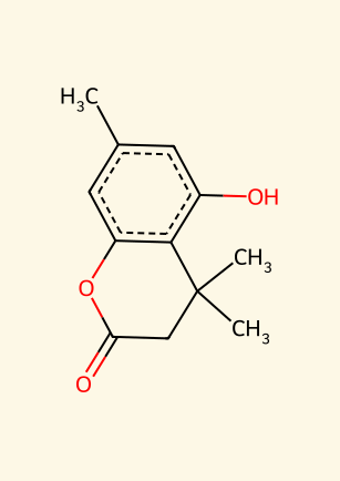 Cc1cc(O)c2c(c1)OC(=O)CC2(C)C